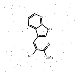 COC(=O)/C(C#N)=C\c1c[nH]c2ncccc12